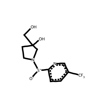 [O-][S+](c1ccc(C(F)(F)F)cn1)N1CCC(O)(CO)C1